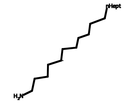 CCCCCCCCCCCCC[CH]CCCCN